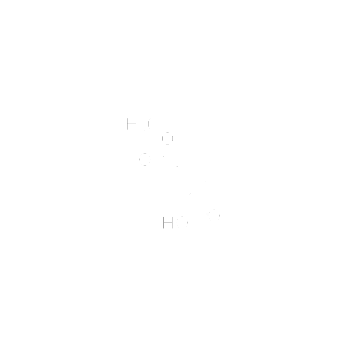 COC(=O)C12CCC(C(=O)O)(C1)C2